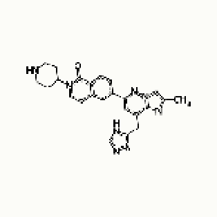 Cc1cn2nc(-c3ccc4c(=O)n(C5CCNCC5)ccc4c3)cc(Cc3nnc[nH]3)c2n1